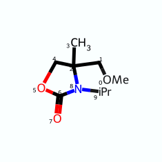 COCC1(C)COC(=O)N1C(C)C